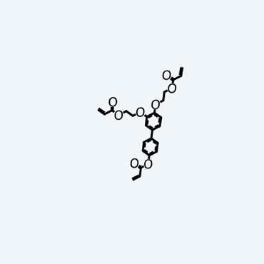 C=CC(=O)OCCOc1ccc(-c2ccc(OC(=O)C=C)cc2)cc1OCCOC(=O)C=C